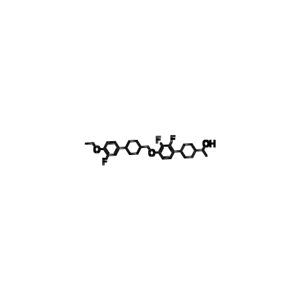 CCOc1ccc(C2CCC(COc3ccc(C4CCC(C(C)O)CC4)c(F)c3F)CC2)cc1F